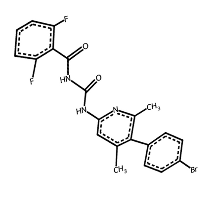 Cc1cc(NC(=O)NC(=O)c2c(F)cccc2F)nc(C)c1-c1ccc(Br)cc1